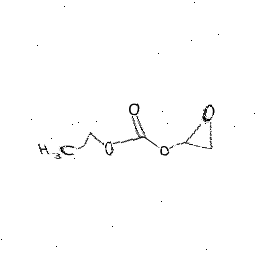 CCOC(=O)OC1CO1